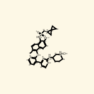 Cc1ccc2c(NS(=O)(=O)C[C@@H]3CC34CC4)c(F)ccc2c1Oc1ncccc1-c1ccnc(NC2CCCNC2)n1.Cl